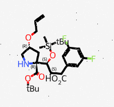 C=CCO[C@H]1CN[C@@](C(=O)OC(C)(C)C)([C@@H](O[Si](C)(C)C(C)(C)C)[C@H](Cc2cc(F)cc(F)c2)C(=O)O)C1